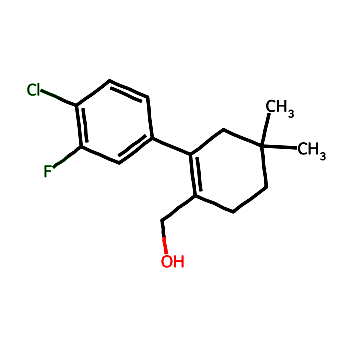 CC1(C)CCC(CO)=C(c2ccc(Cl)c(F)c2)C1